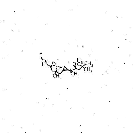 CN(C(=O)CC(C)(C)C)C1CC1CC(C)(C)CC(=O)NCCF